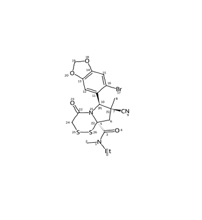 CCN(C)C(=O)[C@@]12C[C@](C)(C#N)[C@H](c3cc4c(cc3Br)OCO4)N1C(=O)CSS2